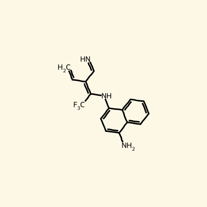 C=C/C(C=N)=C(/Nc1ccc(N)c2ccccc12)C(F)(F)F